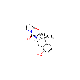 CC1(C)[C@H]2Cc3c(O)cccc3[C@]1(C)CCN2C(=O)N1CCCC1=O